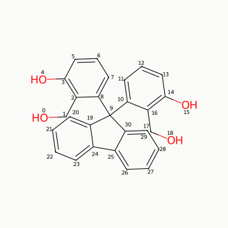 OCc1c(O)cccc1C1(c2cccc(O)c2CO)c2ccccc2-c2ccccc21